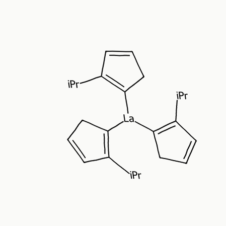 CC(C)C1=[C]([La]([C]2=C(C(C)C)C=CC2)[C]2=C(C(C)C)C=CC2)CC=C1